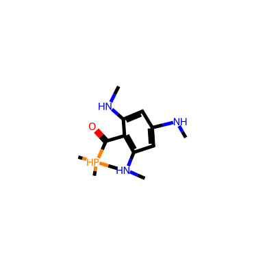 CNc1cc(NC)c(C(=O)[PH](C)(C)C)c(NC)c1